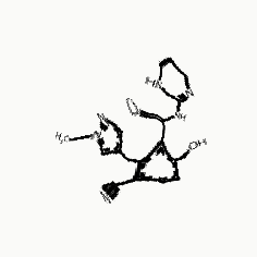 Cn1cc(-c2c(C#N)ccc(O)c2C(=O)NC2=NCCCN2)cn1